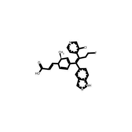 C[C@H]1C=C(/C(=C(/CCF)c2ccncc2Cl)c2ccc3[nH]ncc3c2)C=CC1/C=C/C(=O)O